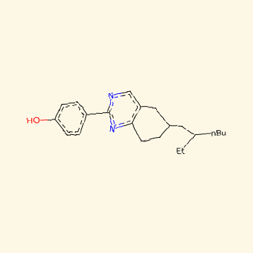 CCCCC(CC)CC1CCc2nc(-c3ccc(O)cc3)ncc2C1